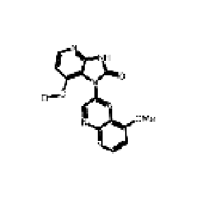 CCOc1ccnc2[nH]c(=O)n(-c3cnc4nccc(OC)c4n3)c12